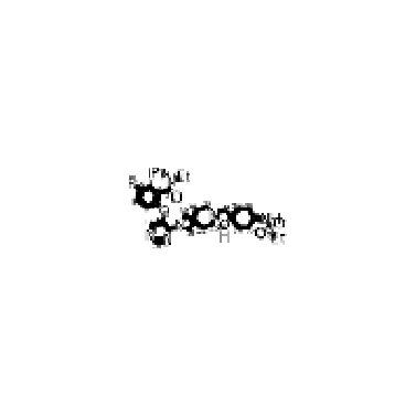 CCN(C(=O)c1cc(F)ccc1Oc1cncnc1N1CC2(CCN(CC3(O)CCC(NS(=O)(=O)CC)CC3)CC2)C1)C(C)C